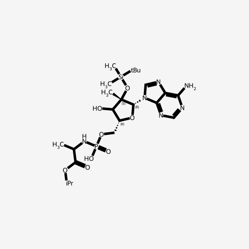 CC(C)OC(=O)C(C)NP(=O)(O)OC[C@H]1O[C@@H](n2cnc3c(N)ncnc32)[C@@](C)(O[Si](C)(C)C(C)(C)C)C1O